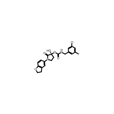 O=C(NCc1cc(F)cc(Cl)c1)O[C@]1(O)CCN(c2ccc3c(c2)CCO3)C1=O